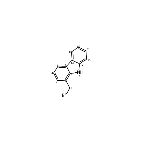 BrCc1cccc2c1[nH]c1ccccc12